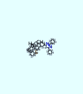 CC1(C)c2ccc(-c3cc(-c4ccccc4)nc(-c4ccccc4)n3)cc2-c2cc3c(cc21)C1(c2ccccc2S3)c2ccccc2-c2ccccc21